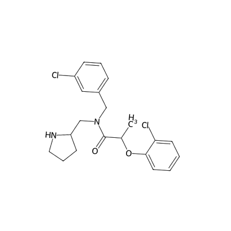 CC(Oc1ccccc1Cl)C(=O)N(Cc1cccc(Cl)c1)CC1CCCN1